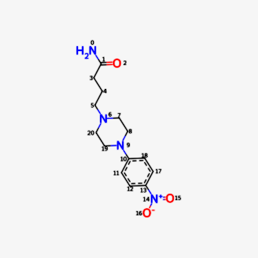 NC(=O)CCCN1CCN(c2ccc([N+](=O)[O-])cc2)CC1